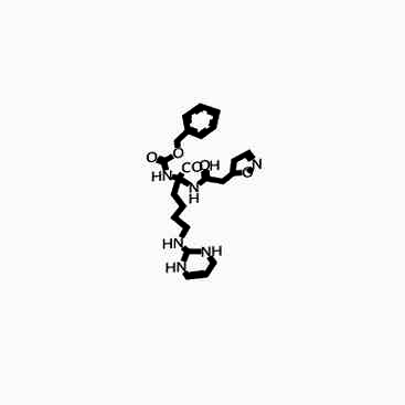 O=C(CC1CC=NO1)NC(CCCCNC1NC=CCN1)(NC(=O)OCc1ccccc1)C(=O)O